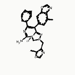 Cc1ocnc1CN1C[N+]2([O-])C(N)=NC(c3ccccc3)=C(c3cc(C)c4ncoc4c3)C2=N1